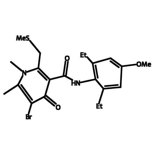 CCc1cc(OC)cc(CC)c1NC(=O)c1c(CSC)n(C)c(C)c(Br)c1=O